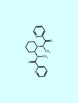 CN(C(=O)c1ccccn1)[C@@H]1CCCC[C@@H]1N(C)C(=O)c1ccccn1